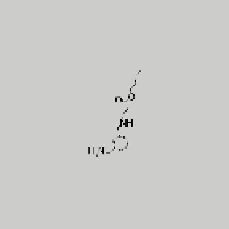 CCCCOC(=O)CCNCc1cccc(CN)c1